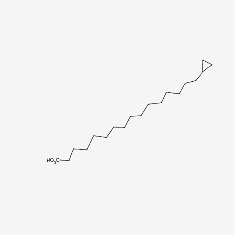 O=C(O)CCCCCCCCCCCCCCCC1CC1